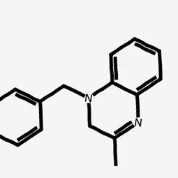 CC1=Nc2ccccc2N(Cc2ccccc2)C1